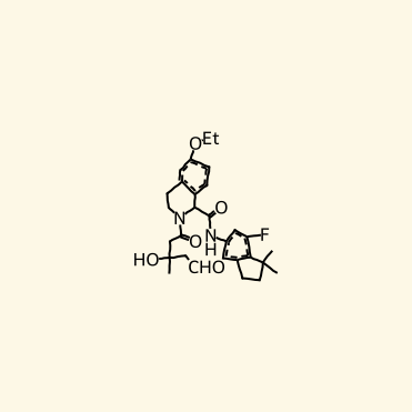 CCOc1ccc2c(c1)CCN(C(=O)CC(C)(O)CC=O)C2C(=O)Nc1cc(F)c2c(c1)CCC2(C)C